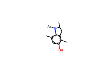 CC(=O)N1c2c(C)cc(O)c(C)c2CC1C